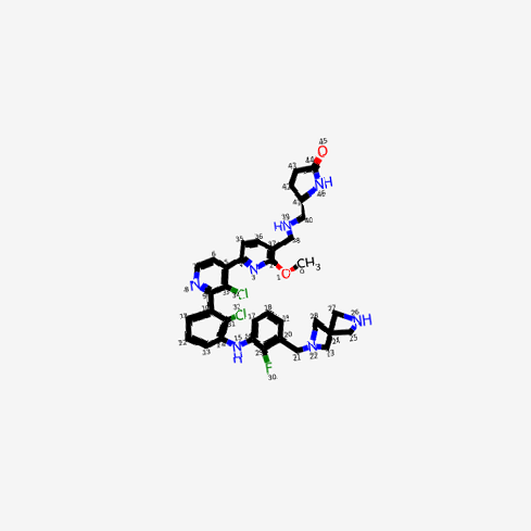 COc1nc(-c2ccnc(-c3cccc(Nc4cccc(CN5CC6(CNC6)C5)c4F)c3Cl)c2Cl)ccc1CNC[C@H]1CCC(=O)N1